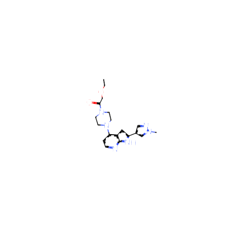 CCOCC(=O)N1CCN(c2ccnc3[nH]c(-c4cnn(C)c4)cc23)CC1